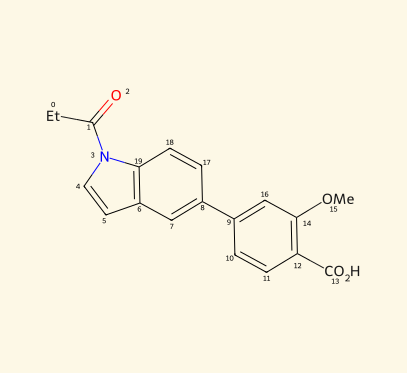 CCC(=O)n1ccc2cc(-c3ccc(C(=O)O)c(OC)c3)ccc21